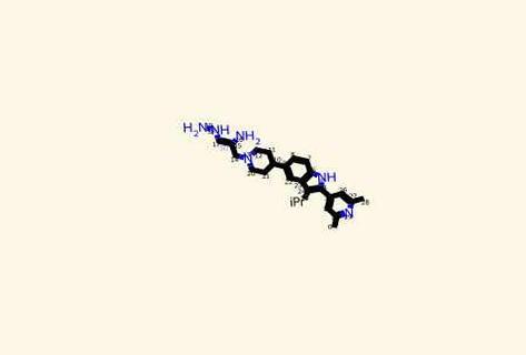 Cc1cc(-c2[nH]c3ccc(C4CCN(C/C(N)=C/NN)CC4)cc3c2C(C)C)cc(C)n1